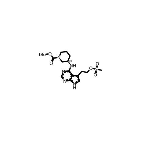 CC(C)(C)OC(=O)N1CCC[C@@H](Nc2ncnc3[nH]cc(CCOS(C)(=O)=O)c23)C1